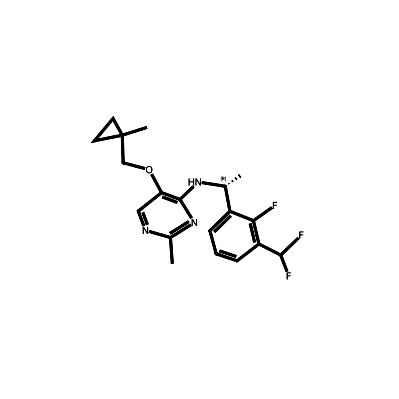 Cc1ncc(OCC2(C)CC2)c(N[C@H](C)c2cccc(C(F)F)c2F)n1